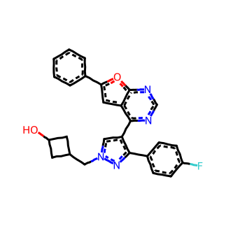 OC1CC(Cn2cc(-c3ncnc4oc(-c5ccccc5)cc34)c(-c3ccc(F)cc3)n2)C1